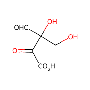 O=CC(O)(CO)C(=O)C(=O)O